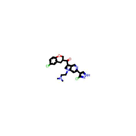 CN(C)CCn1cc(C(=O)C2COc3ccc(Cl)cc3C2)c2cnc(-c3c[nH]nc3Cl)cc21